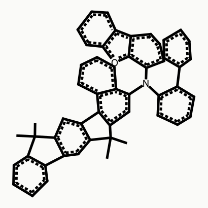 CC1(C)c2ccccc2-c2cc3c(cc21)-c1c(cc(N(c2ccccc2-c2ccccc2)c2cccc4c2oc2ccccc24)c2ccccc12)C3(C)C